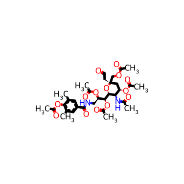 CC(=O)N[C@H]1[C@H]([C@H](OC(C)=O)[C@@H](CNC(=O)c2cc(C)c(OC(C)=O)c(C)c2)OC(C)=O)O[C@@](CC=O)(COC(C)=O)C[C@@H]1OC(C)=O